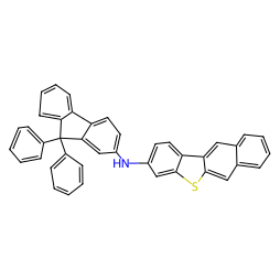 c1ccc(C2(c3ccccc3)c3ccccc3-c3ccc(Nc4ccc5c(c4)sc4cc6ccccc6cc45)cc32)cc1